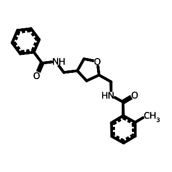 Cc1ccccc1C(=O)NCC1CC(CNC(=O)c2ccccc2)CO1